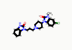 Cn1c(=O)n(C2CCN(CCCn3c(=O)[nH]c4ccccc43)CC2)c2ccc(Cl)cc21